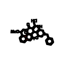 COC(COC(=O)C1=C(C)NC2=C(C(=O)CN(Cc3ccccc3)C2)C1c1c(F)cccc1Cl)c1ccccc1.Cl